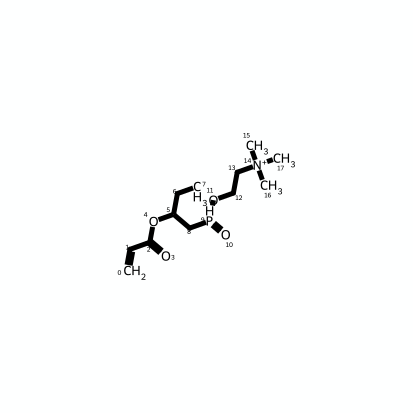 C=CC(=O)OC(CC)C[PH](=O)OCC[N+](C)(C)C